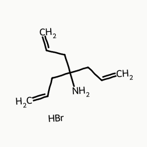 Br.C=CCC(N)(CC=C)CC=C